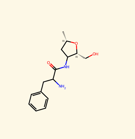 C[C@H]1CC(NC(=O)C(N)Cc2ccccc2)[C@@H](CO)O1